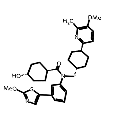 COc1ncc(-c2cccc(N(C[C@H]3CC[C@H](c4ccc(OC)c(C)n4)CC3)C(=O)[C@H]3CC[C@H](O)CC3)c2)s1